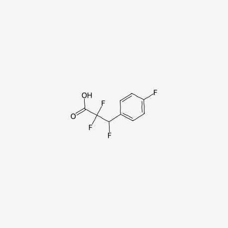 O=C(O)C(F)(F)C(F)c1ccc(F)cc1